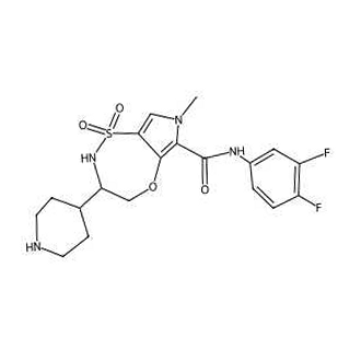 Cn1cc2c(c1C(=O)Nc1ccc(F)c(F)c1)OCC(C1CCNCC1)NS2(=O)=O